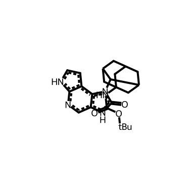 CC(C)(C)OC(=O)NC12CC3CC(C1)C(n1c(=O)[nH]c4cnc5[nH]ccc5c41)C(C3)C2